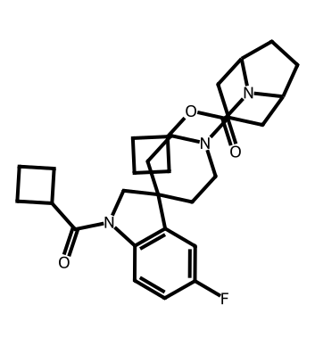 O=C(C1CCC1)N1CC2(CCN(C3CC4CCC(C3)N4C(=O)OC3CCC3)CC2)c2cc(F)ccc21